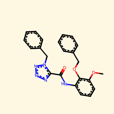 COc1cccc(NC(=O)c2nnnn2Cc2ccccc2)c1OCc1ccccc1